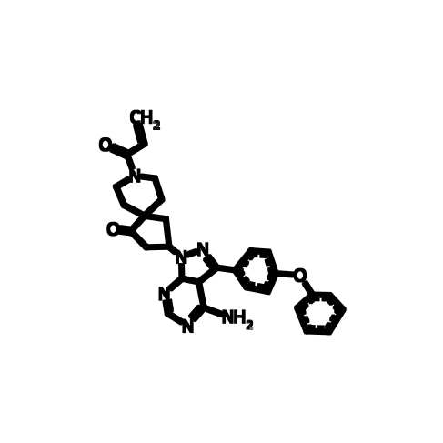 C=CC(=O)N1CCC2(CC1)CC(N1N=C(c3ccc(Oc4ccccc4)cc3)C3C(N)=NC=NC31)CC2=O